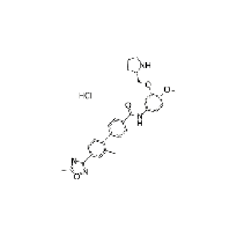 COc1ccc(NC(=O)c2ccc(-c3ccc(-c4noc(C)n4)cc3C)cc2)cc1OC[C@H]1CCCN1.Cl